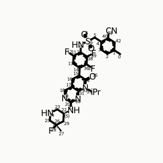 Cc1ccc(CS(=O)(=O)Nc2c(F)cc(-c3cc4cnc(N[C@@H]5CNC[C@@](C)(F)C5)nc4n(C(C)C)c3=O)c(F)c2F)c(C#N)c1